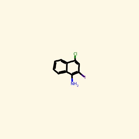 Nc1c(I)cc(Cl)c2ccccc12